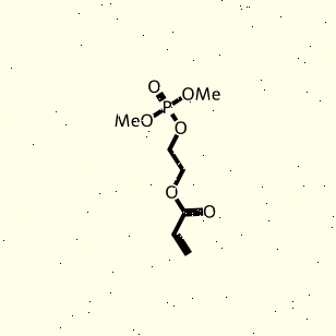 C=CC(=O)OCCOP(=O)(OC)OC